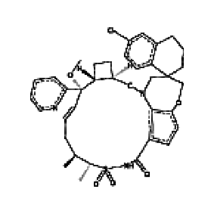 CO[C@@]1(c2ccccn2)/C=C/C[C@H](C)[C@@H](C)S(=O)(=O)NC(=O)c2ccc3c(c2)N(C[C@@H]2CC[C@H]21)CC1(CCCc2cc(Cl)ccc21)CO3